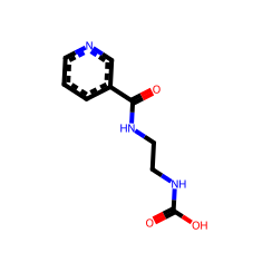 O=C(O)NCCNC(=O)c1cccnc1